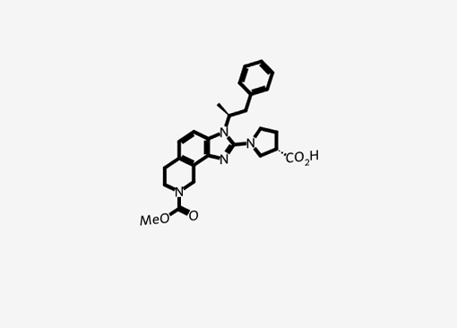 COC(=O)N1CCc2ccc3c(nc(N4CC[C@H](C(=O)O)C4)n3[C@@H](C)Cc3ccccc3)c2C1